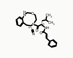 CC(C)C[C@H](NC(=O)/C=C/c1ccccc1)C(=O)N1CCOCNc2ccccc2C[C@H]1C#N